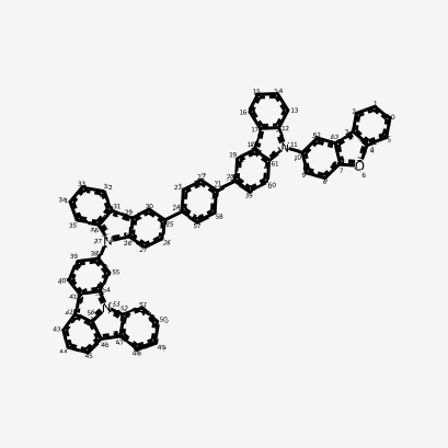 c1ccc2c(c1)oc1ccc(-n3c4ccccc4c4cc(-c5ccc(-c6ccc7c(c6)c6ccccc6n7-c6ccc7c8cccc9c%10ccccc%10n(c7c6)c98)cc5)ccc43)cc12